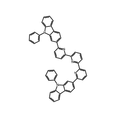 c1ccc(-n2c3ccccc3c3ccc(-c4cccc(-c5cccc(-c6cccc(-c7ccc8c9ccccc9n(-c9ccccc9)c8c7)n6)n5)n4)cc32)cc1